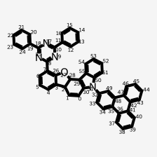 C1=CC2c3cccc(-c4nc(-c5ccccc5)nc(-c5ccccc5)n4)c3OC2c2c1n(-c1ccc3c4ccccc4c4ccccc4c3c1)c1ccccc21